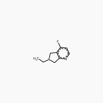 CCN1Cc2nccc(F)c2C1